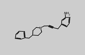 Nc1cccc(CC#CCN2CCC(Cc3ccccc3)CC2)c1